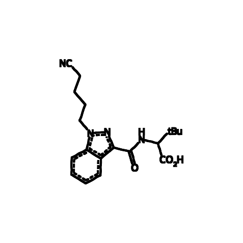 CC(C)(C)C(NC(=O)c1nn(CCCCC#N)c2ccccc12)C(=O)O